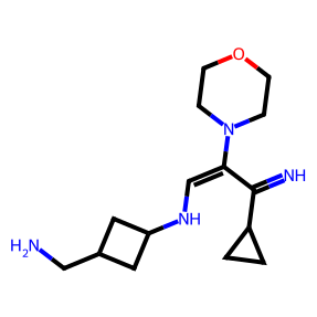 N=C(/C(=C\NC1CC(CN)C1)N1CCOCC1)C1CC1